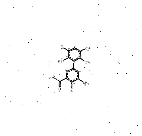 COC(=O)c1nc(-c2c(C)c(C)cc(Cl)c2N)cc(N)c1Cl